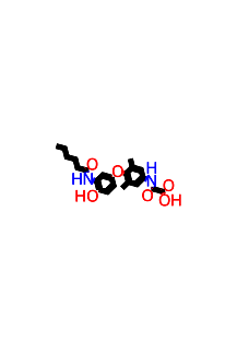 CCCCCC(=O)Nc1cc(Oc2c(C)cc(NC(=O)C(=O)O)cc2C)ccc1O